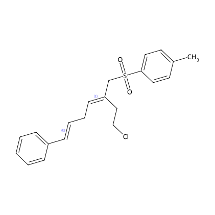 Cc1ccc(S(=O)(=O)C/C(=C/C/C=C/c2ccccc2)CCCl)cc1